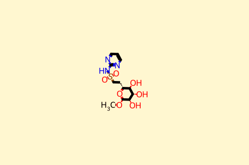 CO[C@H]1O[C@H](CCS(=O)(=O)Nc2ncccn2)[C@@H](O)[C@H](O)[C@@H]1O